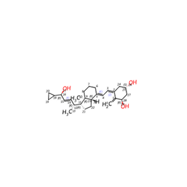 C=C1/C(=C\C=C2/CCC[C@]3(C)[C@@H]([C@H](C)/C=C/[C@H](O)C4CC4)CC[C@@H]23)C[C@H](O)C[C@H]1O